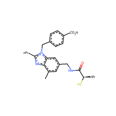 CCCc1nc2c(C)cc(CNC(=O)[C@H](S)CCC)cc2n1Cc1ccc(C(=O)O)cc1